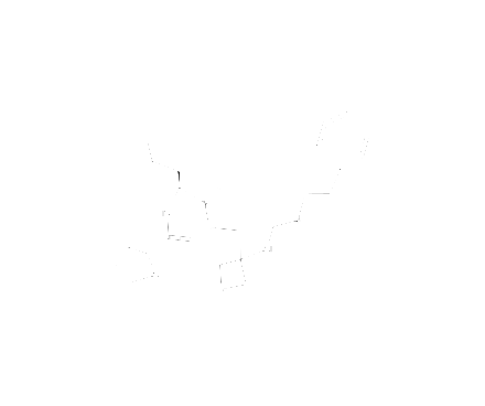 CC(C)C[C@H](NC(=O)[C@H]1CCCN1)C(=O)NCC1(NCC(=O)OCc2ccccc2)CNC1